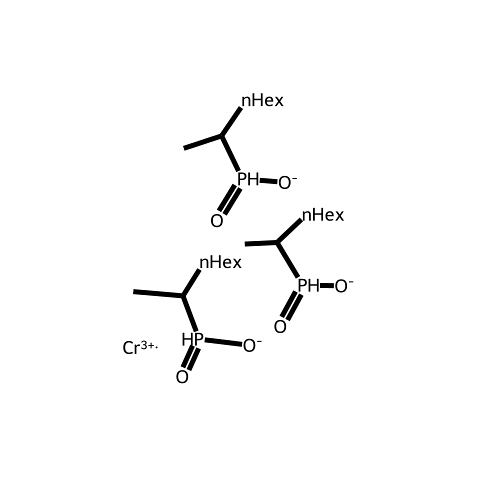 CCCCCCC(C)[PH](=O)[O-].CCCCCCC(C)[PH](=O)[O-].CCCCCCC(C)[PH](=O)[O-].[Cr+3]